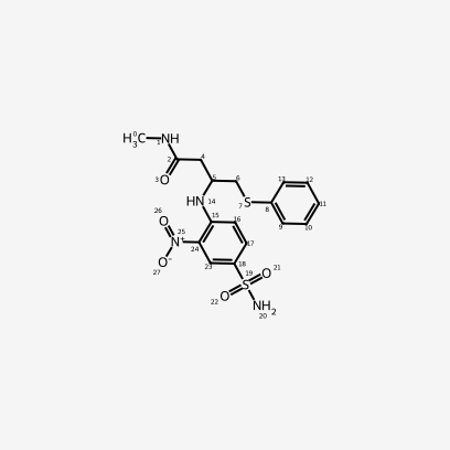 CNC(=O)CC(CSc1ccccc1)Nc1ccc(S(N)(=O)=O)cc1[N+](=O)[O-]